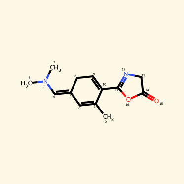 CC1=CC(=CN(C)C)CC=C1C1=NCC(=O)O1